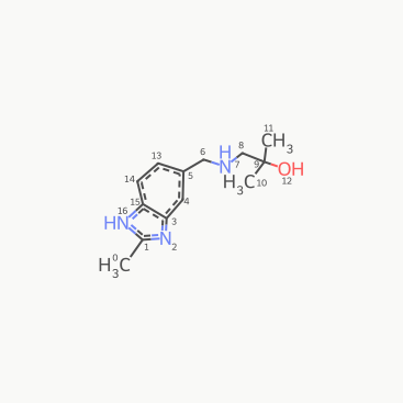 Cc1nc2cc(CNCC(C)(C)O)ccc2[nH]1